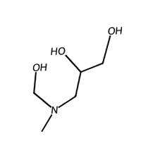 CN(CO)CC(O)CO